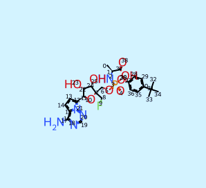 C[C@H](NP(=O)(OC[C@@]1(CF)O[C@@H](c2ccc3c(N)ncnn23)[C@H](O)[C@@H]1O)Oc1ccc(C(C)(C)C)cc1)C(=O)O